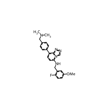 COc1ccc(F)c(CNc2ccc(-c3ccc(CN(C)C)cc3)c3nncn23)c1